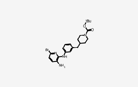 CC(C)(C)OC(=O)N1CCC(Cc2cccc(Nc3nc(Br)ccc3N)c2)CC1